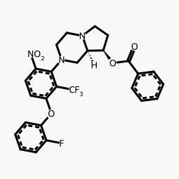 O=C(O[C@@H]1CCN2CCN(c3c([N+](=O)[O-])ccc(Oc4ccccc4F)c3C(F)(F)F)C[C@H]12)c1ccccc1